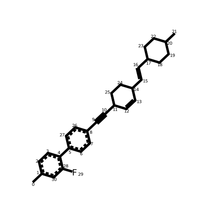 Cc1ccc(-c2ccc(C#CC3C=CC(/C=C/C4CCC(C)CC4)CC3)cc2)c(F)c1